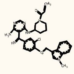 C=CC(=O)N1CCCC(Nc2ncnc(N)c2C(=N)c2ccc(OCc3cn(C)c4ccccc34)c(Cl)c2)C1